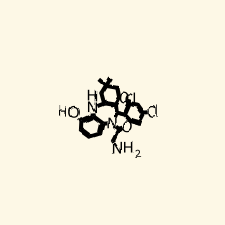 CC1(C)CC(=O)C2=C(C1)Nc1c(O)cccc1N(C(=O)CN)C2c1ccc(Cl)cc1Cl